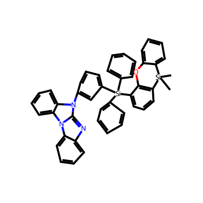 C[Si]1(C)c2ccccc2Oc2c1cccc2[Si](c1ccccc1)(c1ccccc1)c1cccc(-n2c3ccccc3n3c4ccccc4nc23)c1